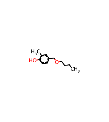 CCCCOCc1ccc(O)c(C)c1